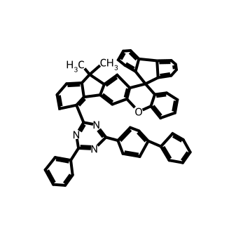 CC1(C)c2cc3c(cc2-c2c(-c4nc(-c5ccccc5)nc(-c5ccc(-c6ccccc6)cc5)n4)cccc21)Oc1ccccc1C31c2ccccc2-c2ccccc21